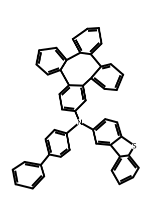 c1ccc(-c2ccc(N(c3ccc4c(c3)-c3ccccc3-c3ccccc3-c3ccccc3-4)c3ccc4sc5ccccc5c4c3)cc2)cc1